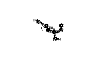 Cc1c(COc2cc(OCc3cncc(C#N)c3)c(CNCc3cc(-c4ccccc4)on3)cc2Cl)cccc1-c1cccc(OCCCN2CCC(O)C2)c1C